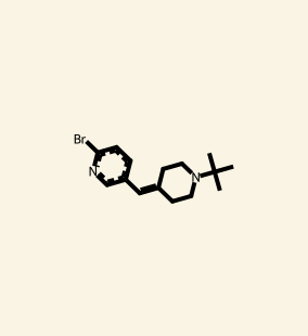 CC(C)(C)N1CCC(=Cc2ccc(Br)nc2)CC1